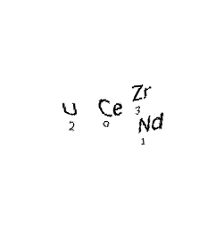 [Ce].[Nd].[U].[Zr]